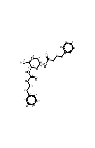 O=C(CCCc1ccccc1)O[C@@H]1COC(O)[C@H](OC(=O)CCCc2ccccc2)C1